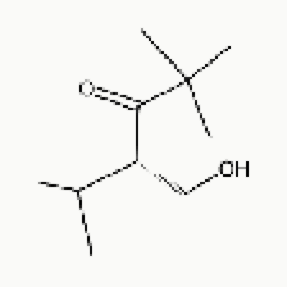 CC(C)[C@@H](CO)C(=O)C(C)(C)C